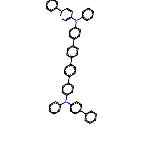 C/C=C(\C=C/C(C)c1ccccc1)N(c1ccccc1)c1ccc(-c2ccc(-c3ccc(-c4ccc(N(c5ccccc5)c5ccc(-c6ccccc6)cc5)cc4)cc3)cc2)cc1